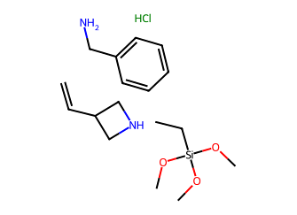 C=CC1CNC1.CC[Si](OC)(OC)OC.Cl.NCc1ccccc1